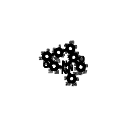 c1ccc(-c2ccc(-c3cccc4oc5ccc(-c6nc(-c7ccccc7)nc(-c7cccc8oc9ccccc9c78)n6)cc5c34)cc2)cc1